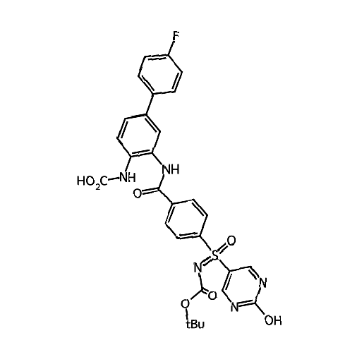 CC(C)(C)OC(=O)N=S(=O)(c1ccc(C(=O)Nc2cc(-c3ccc(F)cc3)ccc2NC(=O)O)cc1)c1cnc(O)nc1